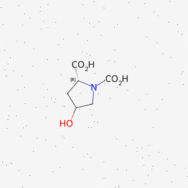 O=C(O)[C@H]1CC(O)CN1C(=O)O